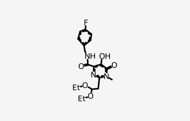 CCOC(Cc1nc(C(=O)NCc2ccc(F)cc2)c(O)c(=O)n1C)OCC